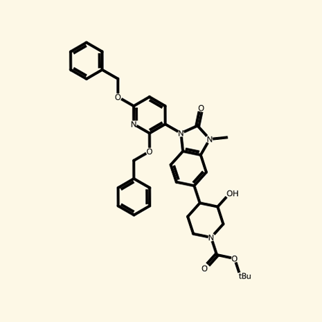 Cn1c(=O)n(-c2ccc(OCc3ccccc3)nc2OCc2ccccc2)c2ccc(C3CCN(C(=O)OC(C)(C)C)CC3O)cc21